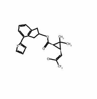 CC1(C)[C@H](C(=O)OC2Cc3cccc(-c4cccs4)c3C2)[C@@H]1C=C(Cl)C(F)(F)F